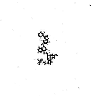 CCc1cc(NC(=O)N[C@H]2CC[C@@H](Oc3ccc4nnc(N5[C@H](C)CCC[C@@H]5C)n4c3)c3ccccc32)n(-c2cnn(CCOS(C)(=O)=O)c2)n1